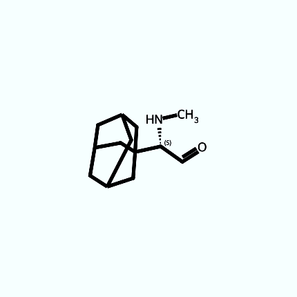 CN[C@H](C=O)C12CC3CC(CC(C3)C1)C2